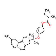 CCC(C)C(=O)OC1CC2CC1CC2OC(C)(C)c1ccc2c(ccc3ccc(C)cc32)c1